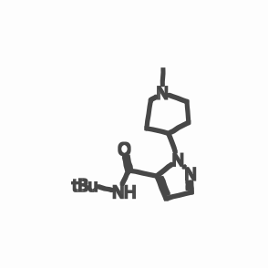 CN1CCC(n2nccc2C(=O)NC(C)(C)C)CC1